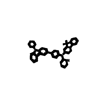 CC1(C)C2=CC(N(C3=CC=CCN3)c3ccc(-c4ccc5c(c4)c4ccccc4n5-c4ccccc4)cc3)=CCC2c2ccccc21